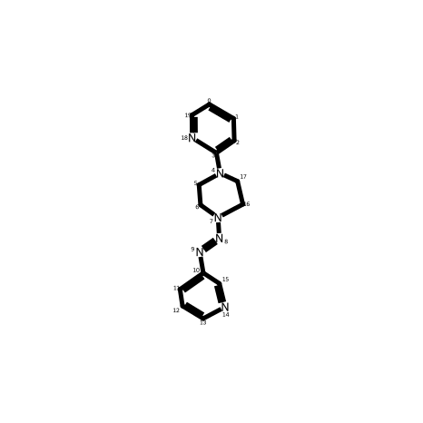 c1ccc(N2CCN(N=Nc3cccnc3)CC2)nc1